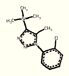 Cc1c([Si](C)(C)C)nnn1-c1ccccc1Cl